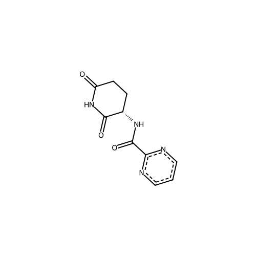 O=C1CC[C@H](NC(=O)c2ncccn2)C(=O)N1